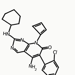 Nc1c(-c2ccccc2Cl)c(=O)n(C2=CC=C2)c2nc(NC3CCCCC3)ncc12